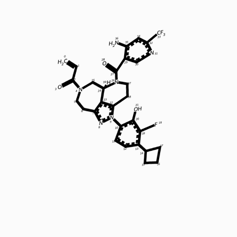 C=CC(=O)N1CCc2nn(-c3ccc(C4CCC4)c(F)c3O)c3c2[C@H](C1)N(C(=O)c1cnc(C(F)(F)F)cc1N)CC3